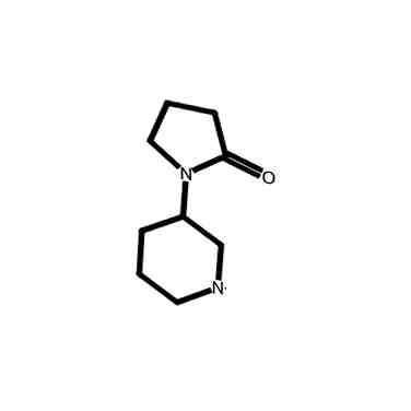 O=C1CCCN1C1CCC[N]C1